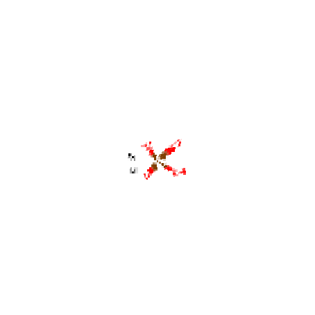 O=S(=O)(O)O.[Ce].[LiH]